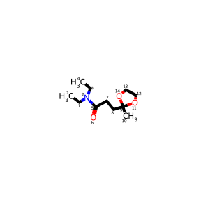 CCN(CC)C(=O)CCC1(C)OCCO1